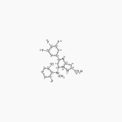 CN(c1c(F)cccc1Cl)c1cc(-c2cc(F)c(F)c(F)c2)nc2cc(C(=O)O)nn12